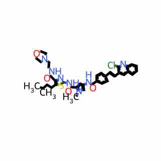 CC(C)CCc1sc(NC(=O)c2cc(NC(=O)c3ccc(C=Cc4cc5ccccc5nc4Cl)cc3)cn2C)nc1C(=O)NCCN1CCOCC1